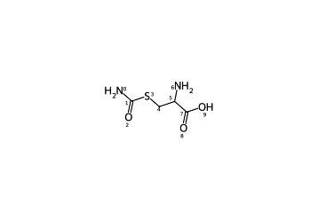 NC(=O)SCC(N)C(=O)O